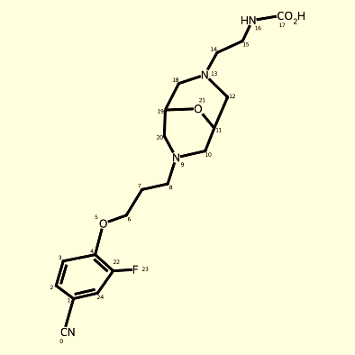 N#Cc1ccc(OCCCN2CC3CN(CCNC(=O)O)CC(C2)O3)c(F)c1